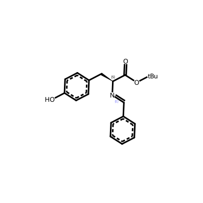 CC(C)(C)OC(=O)[C@H](Cc1ccc(O)cc1)/N=C/c1ccccc1